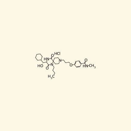 CCCCN1C(=O)[C@@H]([C@H](O)C2CCCCC2)NC(=O)C12CCN(CCCOc1ccc(C(=O)NC)cc1)CC2.Cl